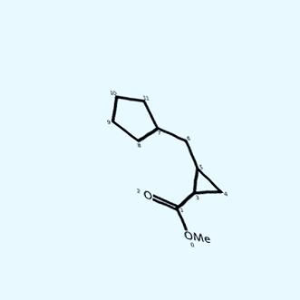 COC(=O)C1CC1CC1CCCC1